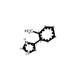 Cc1c[c]ccc1-c1cscn1